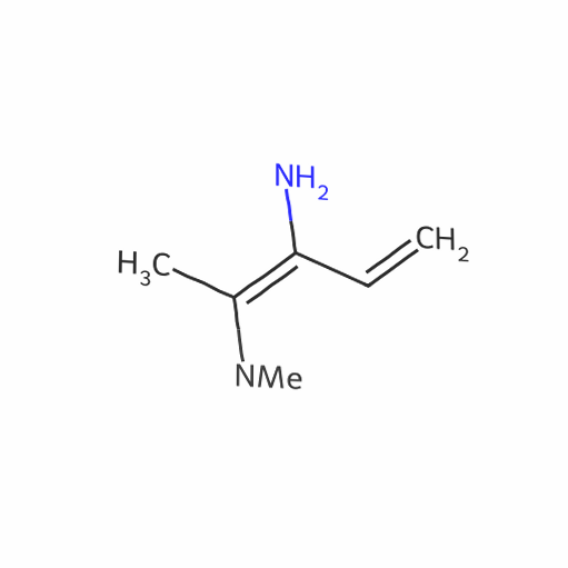 C=C/C(N)=C(/C)NC